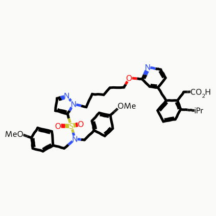 COc1ccc(CN(Cc2ccc(OC)cc2)S(=O)(=O)c2ccnn2CCCCCOc2cc(-c3cccc(C(C)C)c3CC(=O)O)ccn2)cc1